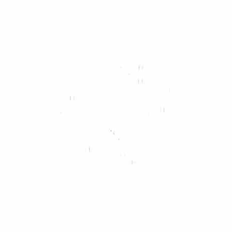 COC(=O)C(N)(Cc1ccc(OC(=O)OC(C)(C)C)c(OC(=O)OC(C)(C)C)c1)C[C@H](C)OC(=O)OCCC(C)C